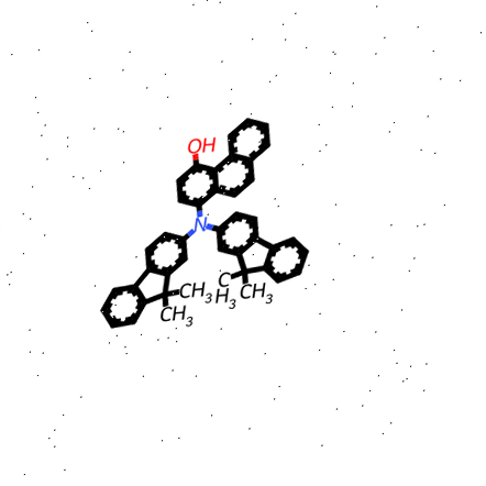 CC1(C)c2ccccc2-c2ccc(N(c3ccc4c(c3)C(C)(C)c3ccccc3-4)c3ccc(O)c4c3ccc3ccccc34)cc21